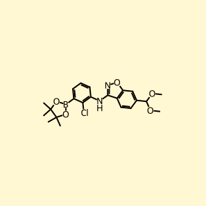 COC(OC)c1ccc2c(Nc3cccc(B4OC(C)(C)C(C)(C)O4)c3Cl)noc2c1